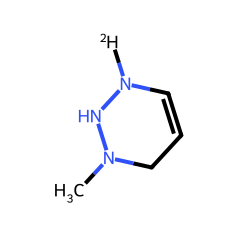 [2H]N1C=CCN(C)N1